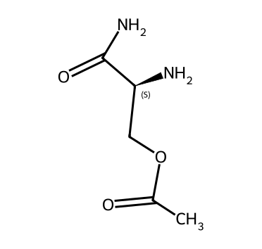 CC(=O)OC[C@H](N)C(N)=O